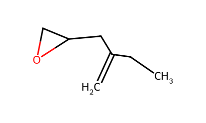 C=C(CC)CC1CO1